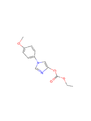 CCOC(=O)Oc1cn(-c2ccc(OC)cc2)cn1